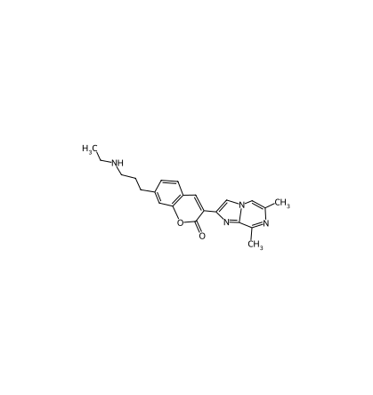 CCNCCCc1ccc2cc(-c3cn4cc(C)nc(C)c4n3)c(=O)oc2c1